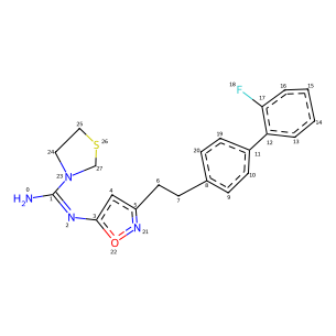 NC(=Nc1cc(CCc2ccc(-c3ccccc3F)cc2)no1)N1CCSC1